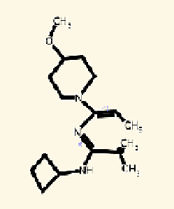 C=C(C)/C(=N\C(=C/C)N1CCC(OC)CC1)NC1CCC1